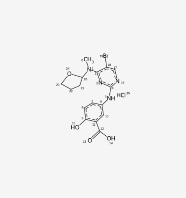 CN(c1nc(Nc2ccc(O)c(C(=O)O)c2)ncc1Br)C1CCCO1.Cl